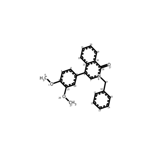 COc1ccc(-c2cn(Cc3ccccc3)c(=O)c3ccccc23)cc1OC